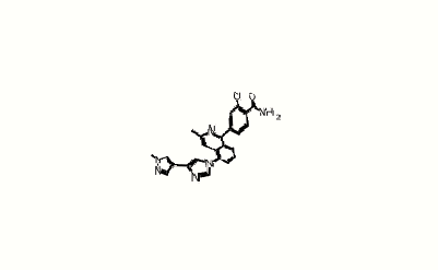 Cc1cc2c(-n3cnc(-c4cnn(C)c4)c3)cccc2c(-c2ccc(C(N)=O)c(Cl)c2)n1